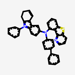 C1=Cc2c(n(-c3ccccc3)c3ccc(N(c4ccc(-c5ccccc5)cc4)c4cccc5sc6cccnc6c45)cc23)CC1